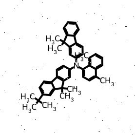 Cc1ccc(N(c2ccc3c(c2)C(C)(C)c2ccccc2-3)c2ccc3c(c2)C(C)(C)c2cc(C(C)(C)C)ccc2-3)c2c(C)cccc12